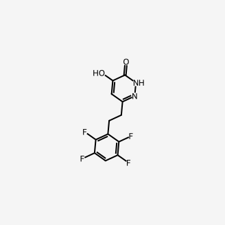 O=c1[nH]nc(CCc2c(F)c(F)cc(F)c2F)cc1O